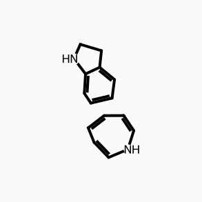 C1=CC=CNC=C1.c1ccc2c(c1)CCN2